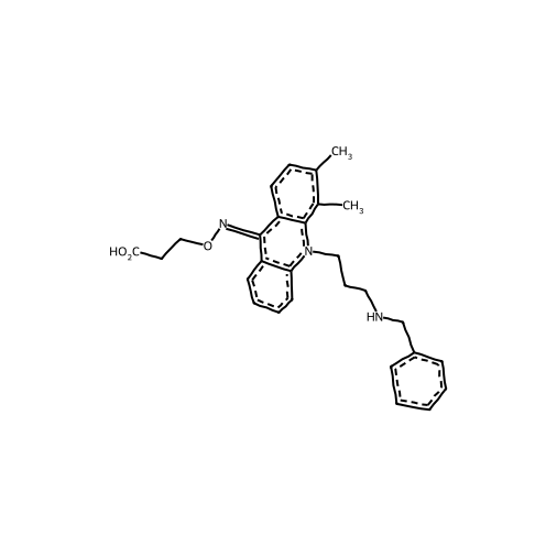 Cc1ccc2/c(=N/OCCC(=O)O)c3ccccc3n(CCCNCc3ccccc3)c2c1C